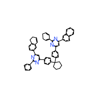 C1=CC(c2nc(-c3ccc(C4(c5ccc(-c6cc(-c7ccc8c(c7)C=CCC8)nc(-c7ccccc7)n6)cc5)CCCCC4)cc3)cc(-c3ccc4ccccc4c3)n2)=CCC1